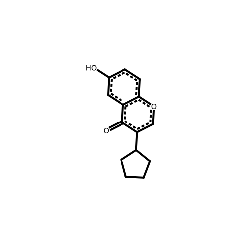 O=c1c(C2CCCC2)coc2ccc(O)cc12